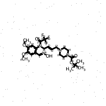 COc1cc(/C=N/O)c(N(C/C=C/CN2CCN(C(=O)OC(C)(C)C)CC2)C(=O)C(F)(F)F)cc1OC